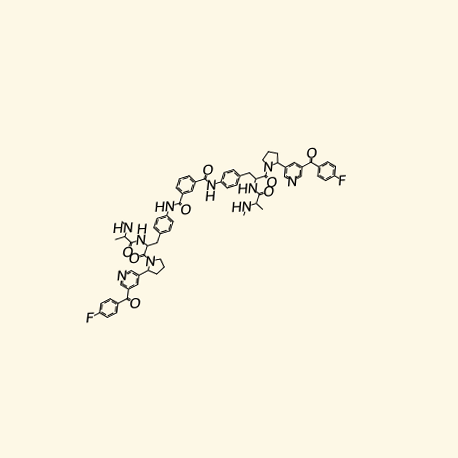 CNC(C)C(=O)NC(Cc1ccc(NC(=O)c2cccc(C(=O)Nc3ccc(CC(NC(=O)C(C)NC)C(=O)N4CCCC4c4cncc(C(=O)c5ccc(F)cc5)c4)cc3)c2)cc1)C(=O)N1CCCC1c1cncc(C(=O)c2ccc(F)cc2)c1